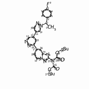 CC(c1ccc(F)cc1)n1cc(-c2cnnc(-c3ccn4nc(N(C(=O)OC(C)(C)C)C(=O)OC(C)(C)C)nc4c3)c2)cn1